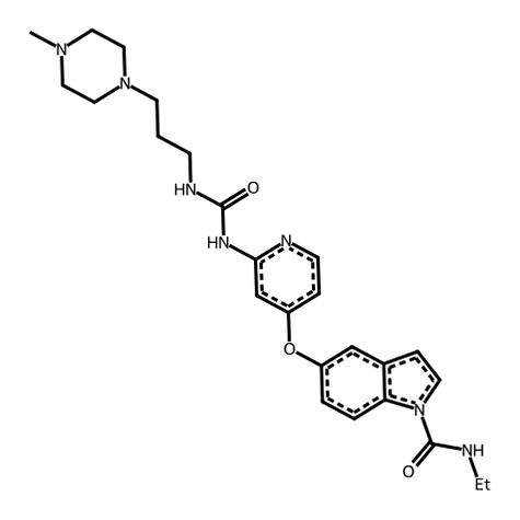 CCNC(=O)n1ccc2cc(Oc3ccnc(NC(=O)NCCCN4CCN(C)CC4)c3)ccc21